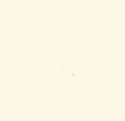 CC(=O)c1cc(C)nn1Cc1ccccc1